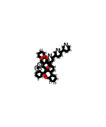 O=S1(=O)c2ccccc2C2(c3ccccc3-c3ccccc3-c3ccc(-c4cc(-c5ccc(-c6cccnc6)nc5)nc(-c5ccccc5)n4)cc32)c2ccc3ccccc3c21